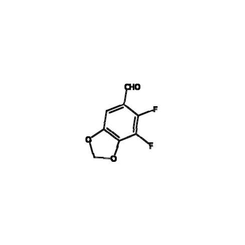 O=Cc1cc2c(c(F)c1F)OCO2